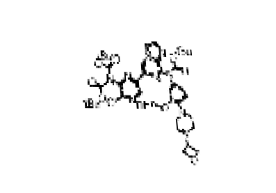 CCCOc1cc(N(C(=O)OC(C)(C)C)c2nc(-c3cnc(Cl)c(N(C(=O)OC(C)(C)C)C(=O)OC(C)(C)C)n3)cn3ccnc23)ccc1N1CCN(C2COC2)CC1